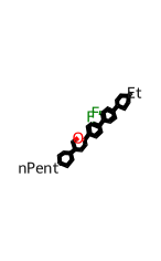 CCCCCC1CCC(C2CCC(c3ccc(-c4ccc(C5CCC(CC)CC5)cc4F)c(F)c3)OC2)CC1